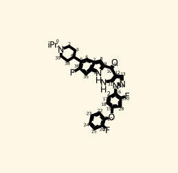 CC(C)N1CCC(c2cc3cc(C(=O)c4cnn(-c5ccc(Oc6ccccc6F)cc5F)c4N)[nH]c3cc2F)CC1